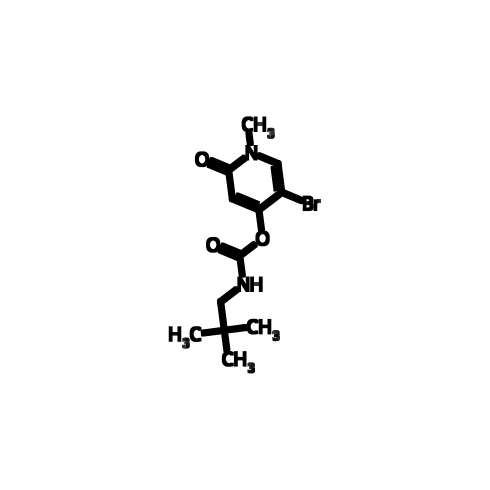 Cn1cc(Br)c(OC(=O)NCC(C)(C)C)cc1=O